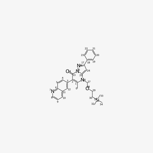 Cc1c(-c2ccc3ncccc3c2)c(=O)n2nc(-c3ccccc3)cc2n1COCC[Si](C)(C)C